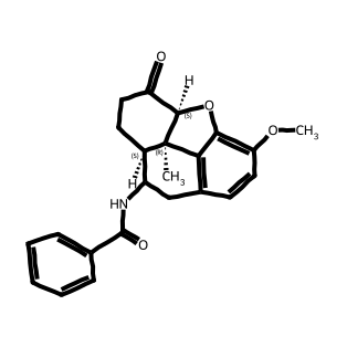 COc1ccc2c3c1O[C@@H]1C(=O)CC[C@H](C(NC(=O)c4ccccc4)C2)[C@]31C